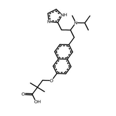 CC(C)N(C)C(Cc1ccc2cc(OCC(C)(C)C(=O)O)ccc2c1)Cc1ncc[nH]1